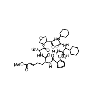 COC(=O)/C=C/CC[C@H](NC(=O)c1ccccc1C(=O)O)C(=O)N[C@H](C(=O)N1COC[C@H]1C(=O)N[C@H](C(=O)N[C@H](C(N)=O)C1CCCCC1)C1CCCCC1)C(C)(C)C